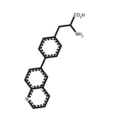 NC(Cc1ccc(-c2ccc3ncccc3c2)cc1)C(=O)O